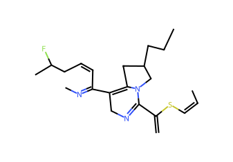 C=C(S/C=C\C)C1=NCC(C(/C=C\CC(C)F)=N/C)=C2CC(CCC)CN12